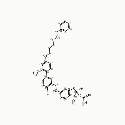 Cc1nc(OCCCOOCc2ccccc2)ccc1-c1ccc(F)c(COc2ccc3c(c2)C[C@H]2[C@H](C(=O)O)[C@@H]32)c1